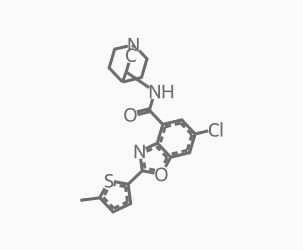 Cc1ccc(-c2nc3c(C(=O)NC4CN5CCC4CC5)cc(Cl)cc3o2)s1